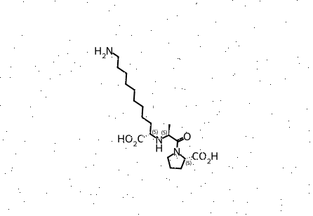 C[C@H](N[C@@H](CCCCCCCCCN)C(=O)O)C(=O)N1CCC[C@H]1C(=O)O